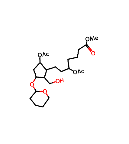 COC(=O)CCCC(CCC1C(OC(C)=O)CC(OC2CCCCO2)C1CO)OC(C)=O